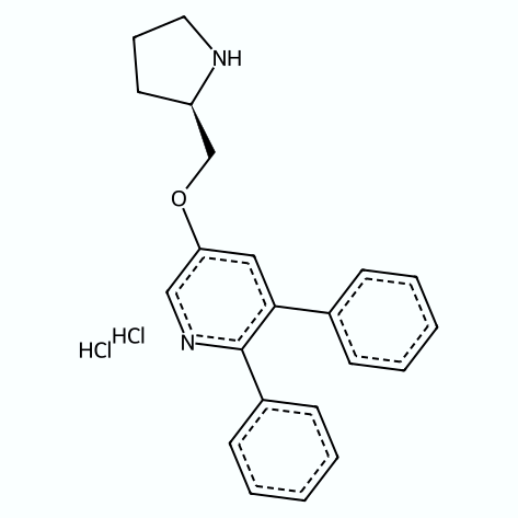 Cl.Cl.c1ccc(-c2cc(OC[C@H]3CCCN3)cnc2-c2ccccc2)cc1